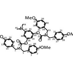 COc1ccc(CN(Cc2ccc(OC)cc2)C(=O)Oc2cc(OC(=O)N(Cc3ccc(OC)cc3)Cc3ccc(OC)cc3)cc(N(C)C)c2)cc1